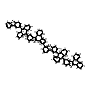 c1ccc2c(c1)sc1ccc(-c3c4ccccc4c(-c4ccc5sc6c7cc(-c8cccc9c8oc8ccc(-c%10c%11ccccc%11c(-c%11ccc%12sc%13c%14ccccc%14c%14ccccc%14c%13c%12c%11)c%11ccccc%10%11)cc89)ccc7c7ccccc7c6c5c4)c4ccccc34)cc12